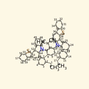 CCc1ccccc1-c1cc(-c2ccccc2CC)c(-n2c3ccccc3c3c4sc5ccccc5c4ccc32)c(C(C)C)c1-n1c2ccccc2c2c3sc4ccccc4c3ccc21